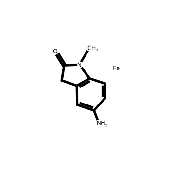 CN1C(=O)Cc2cc(N)ccc21.[Fe]